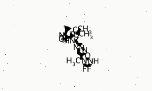 C[C@H](c1cnn2cc([C@H](COC(C)(C)C(F)(F)F)NC(=O)c3nonc3C3CC3)nc2c1)N1CC(F)(F)CNC1=O